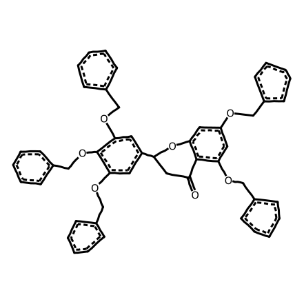 O=C1CC(c2cc(OCc3ccccc3)c(OCc3ccccc3)c(OCc3ccccc3)c2)Oc2cc(OCc3ccccc3)cc(OCc3ccccc3)c21